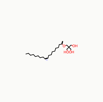 C=C(CCCCCCC/C=C\CCCCCCCC)OCC(CO)(CO)CO